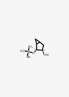 CC(C)(C)[Si](C)(C)O[C@H]1C2CC2C[C@H]1C=O